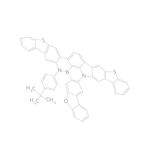 CC(C)(C)c1ccc(N2B3c4cc5oc6ccccc6c5cc4-n4c5cc6c(cc5c5ccc(c3c54)-c3cc4sc5ccccc5c4cc32)sc2ccccc26)cc1